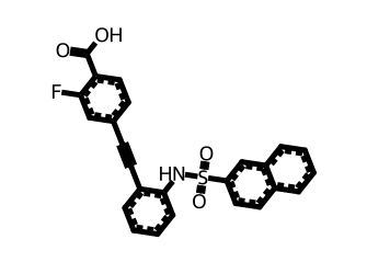 O=C(O)c1ccc(C#Cc2ccccc2NS(=O)(=O)c2ccc3ccccc3c2)cc1F